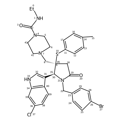 CCNC(=O)N1CCN(C[C@]2(Sc3ccc(C)cc3)CC(=O)N(Cc3ccc(Br)cc3)[C@H]2c2c[nH]c3cc(Cl)ccc23)CC1